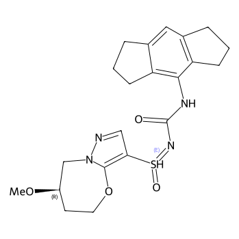 CO[C@@H]1CCOc2c(/[SH](=O)=N\C(=O)Nc3c4c(cc5c3CCC5)CCC4)cnn2C1